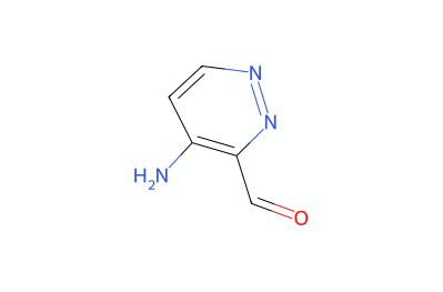 Nc1ccnnc1C=O